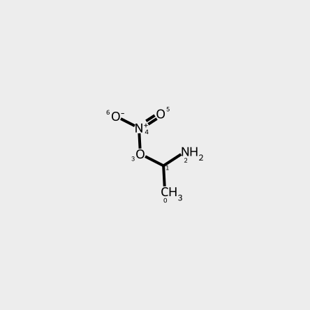 CC(N)O[N+](=O)[O-]